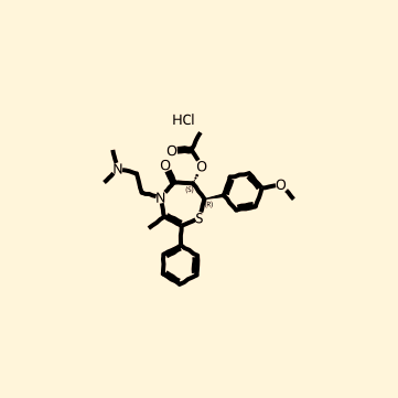 COc1ccc([C@H]2SC(c3ccccc3)=C(C)N(CCN(C)C)C(=O)[C@@H]2OC(C)=O)cc1.Cl